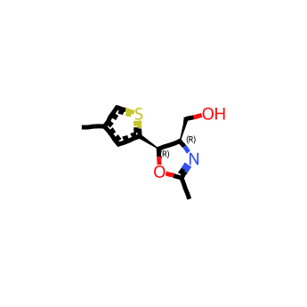 CC1=N[C@H](CO)[C@H](c2cc(C)cs2)O1